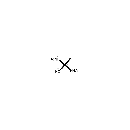 CC(=O)NC(C)(O)NC(C)=O